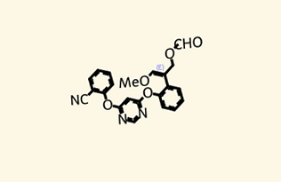 CO/C=C(/COC=O)c1ccccc1Oc1cc(Oc2ccccc2C#N)ncn1